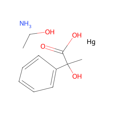 CC(O)(C(=O)O)c1ccccc1.CCO.N.[Hg]